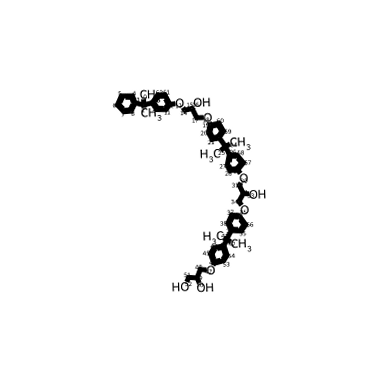 CC(C)(c1ccccc1)c1ccc(OCC(O)COc2ccc(C(C)(C)c3ccc(OCC(O)COc4ccc(C(C)(C)c5ccc(OCC(O)CO)cc5)cc4)cc3)cc2)cc1